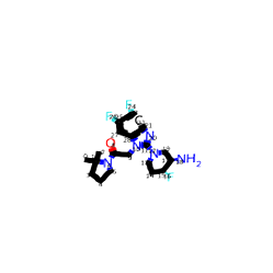 CC1(C)CCCN1C(=O)Cn1c(N2CC[C@@H](F)[C@H](N)C2)nc2cc(F)c(F)cc21